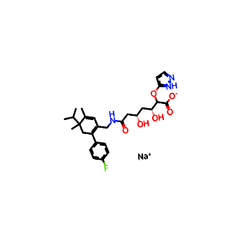 CC1=CC(CNC(=O)C[C@@H](O)C[C@@H](O)C(Oc2ccn[nH]2)C(=O)[O-])=C(c2ccc(F)cc2)CC1(C)C(C)C.[Na+]